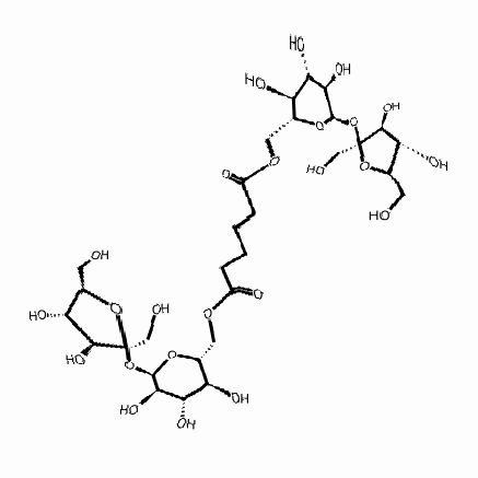 O=C(CCCCC(=O)OC[C@H]1O[C@H](O[C@]2(CO)O[C@H](CO)[C@@H](O)[C@@H]2O)[C@H](O)[C@@H](O)[C@@H]1O)OC[C@H]1O[C@H](O[C@]2(CO)O[C@H](CO)[C@@H](O)[C@@H]2O)[C@H](O)[C@@H](O)[C@@H]1O